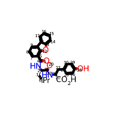 CC(C)C[C@H](NC(=O)c1cccc2c1oc1ccccc12)C(=O)N[C@@H](Cc1ccc(O)cc1)C(=O)O